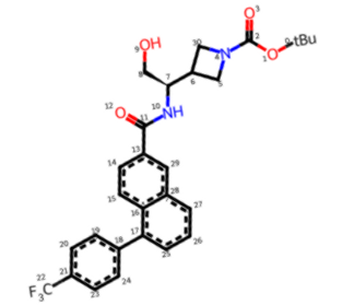 CC(C)(C)OC(=O)N1CC([C@H](CO)NC(=O)c2ccc3c(-c4ccc(C(F)(F)F)cc4)cccc3c2)C1